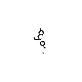 CC1=CC2=C3OCCC[C@@H]3[C@H](c3ccc(C(=O)NS(C)(=O)=O)cc3)NC2C=C1